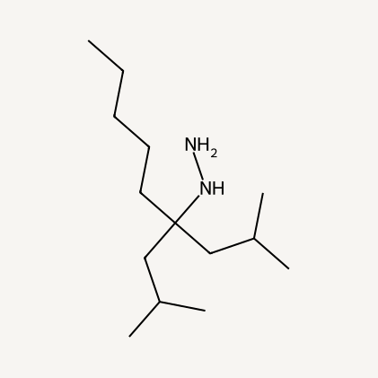 CCCCCC(CC(C)C)(CC(C)C)NN